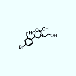 O=C(O)N(CCO)CC(O)c1ccc(Br)cc1F